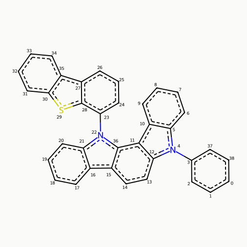 c1ccc(-n2c3ccccc3c3c2ccc2c4ccccc4n(-c4cccc5c4sc4ccccc45)c23)cc1